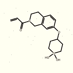 C=CC(=O)N1CCc2ccc(OC3CCS(O)(O)CC3)cc2C1